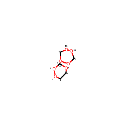 C1COOCO1.C1OOCOO1